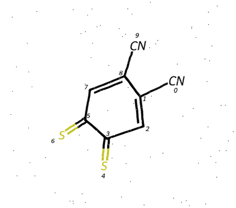 N#CC1=CC(=S)C(=S)C=C1C#N